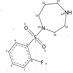 O=S(=O)(c1ccccc1F)N1CCCNCC1